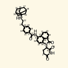 O=C1CCC(N2C(=O)c3cccc4c(NC(=O)c5ccc(CCNC67CC8CC(CC(C8)C6)C7)cc5)ccc2c34)C(=O)N1